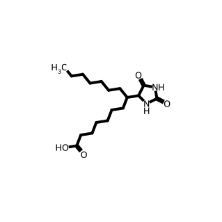 CCCCCCCC(CCCCCCC(=O)O)C1NC(=O)NC1=O